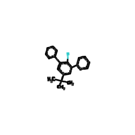 CC(C)(C)c1cc(-c2ccccc2)c(F)c(-c2ccccc2)c1